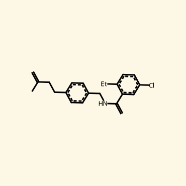 C=C(C)CCc1ccc(CNC(=C)c2cc(Cl)ccc2CC)cc1